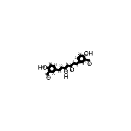 O=Cc1cc(/C=C/C(=O)/C=C(O)/C=C/c2ccc(O)c(C=O)c2)ccc1O